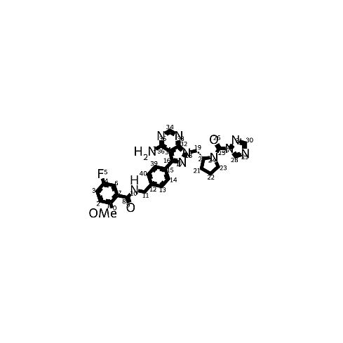 COc1ccc(F)cc1C(=O)NCc1ccc(-c2nn(C[C@H]3CCCN3C(=O)n3cncn3)c3ncnc(N)c23)cc1